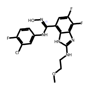 COCCNc1nc2c(F)c(F)cc(/C(=N/O)Nc3ccc(F)c(Cl)c3)c2[nH]1